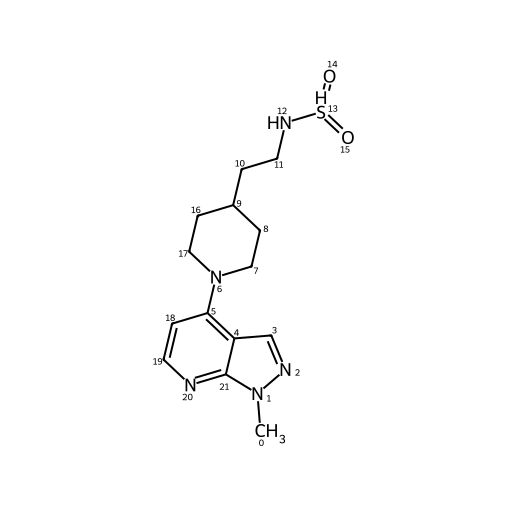 Cn1ncc2c(N3CCC(CCN[SH](=O)=O)CC3)ccnc21